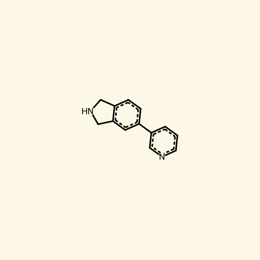 c1cncc(-c2ccc3c(c2)CNC3)c1